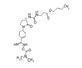 CCCCOC(=O)CCNC(=O)N[C@H]1CCN(c2ccc(C(=N)NOC(=O)N(C)C)cc2)C1=O